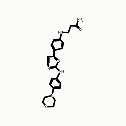 NC(=O)CCNc1ccc(-c2ccnc(Nc3ccc(N4CCOCC4)cc3)n2)cc1